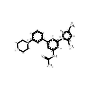 CC(=O)Nc1cc(-c2cccc(N3CCOCC3)c2)nc(-n2nc(C)cc2C)n1